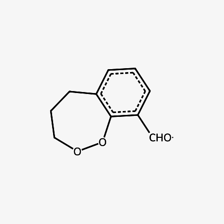 O=[C]c1cccc2c1OOCCC2